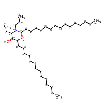 CCCCCCCCCCCCCCCC(=O)C(CC)N(CCC)C(=O)CCCCCCCCCCCCCCC